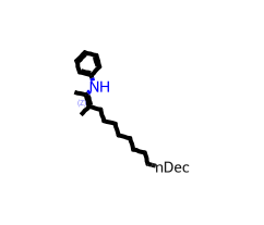 CCCCCCCCCCCCCCCCCC/C(C)=C(/C)Nc1ccccc1